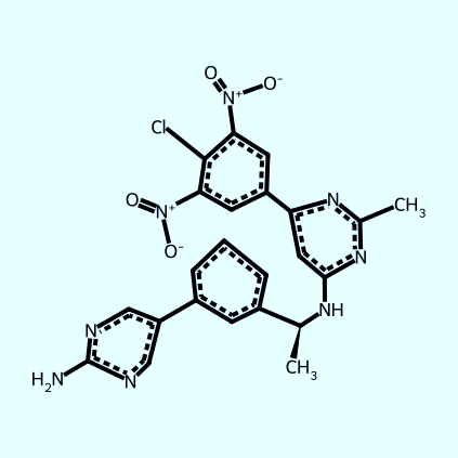 Cc1nc(N[C@@H](C)c2cccc(-c3cnc(N)nc3)c2)cc(-c2cc([N+](=O)[O-])c(Cl)c([N+](=O)[O-])c2)n1